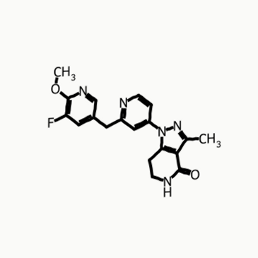 COc1ncc(Cc2cc(-n3nc(C)c4c3CCNC4=O)ccn2)cc1F